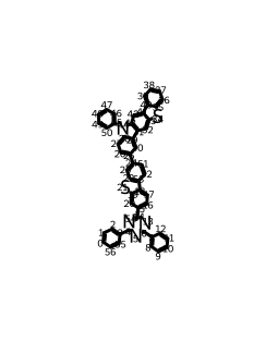 c1ccc(-c2nc(-c3ccccc3)nc(-c3ccc4c(c3)sc3cc(-c5ccc6c(c5)c5cc7sc8ccccc8c7cc5n6-c5ccccc5)ccc34)n2)cc1